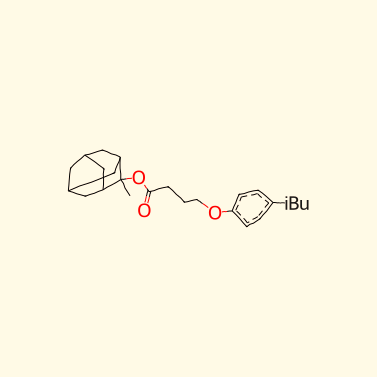 CCC(C)c1ccc(OCCCC(=O)OC2(C)C3CC4CC(C3)CC2C4)cc1